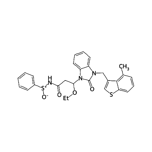 CCOC(CC(=O)N[S+]([O-])c1ccccc1)n1c(=O)n(Cc2csc3cccc(C)c23)c2ccccc21